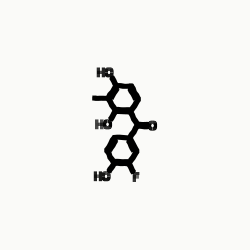 Cc1c(O)ccc(C(=O)c2ccc(O)c(F)c2)c1O